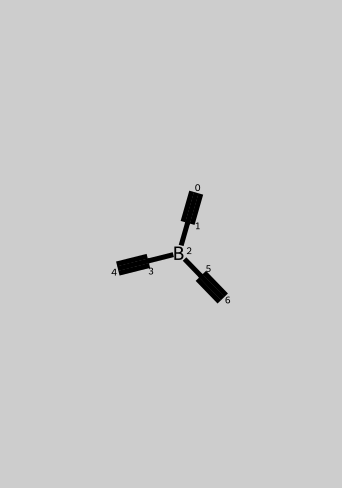 C#CB(C#C)C#C